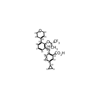 C[C@H](Oc1c(Nc2nnc(C3CC3)cc2C(=O)O)cccc1C1=CCOCC1)C(F)(F)F